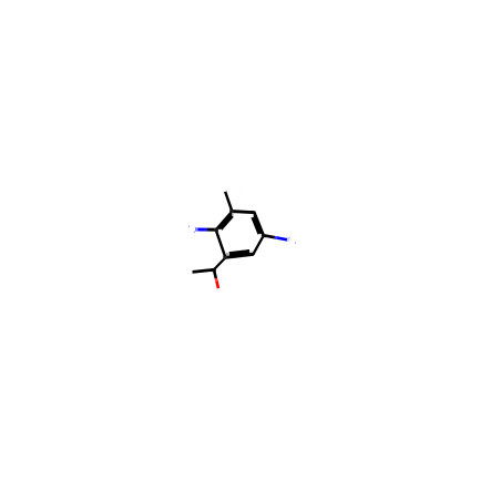 Cc1cc(N)cc(C(C)O)c1N